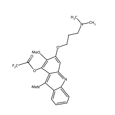 CNc1c2ccccc2nc2cc(OCCCN(C)C)c(OC)c(OC(=O)C(F)(F)F)c12